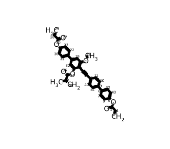 C=CC(=O)Oc1ccc(-c2ccc(C#Cc3c(OC)cc(-c4ccc(OC(=O)C=C)cc4)cc3OC(=O)C(=C)C)cc2)cc1